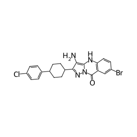 Nc1c(C2CCC(c3ccc(Cl)cc3)CC2)nn2c(=O)c3cc(Br)ccc3[nH]c12